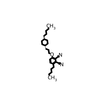 CCCCCc1ccc(OCCC[C@H]2CC[C@H](CCCCC)CC2)c(C#N)c1C#N